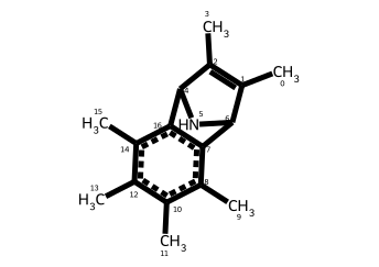 CC1=C(C)C2NC1c1c(C)c(C)c(C)c(C)c12